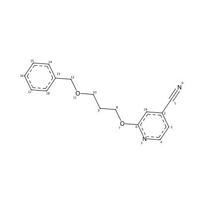 N#Cc1ccnc(OCCCOCc2ccccc2)c1